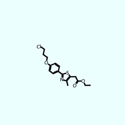 CCOC(=O)Cc1sc(-c2ccc(OCCCCl)cc2)nc1C